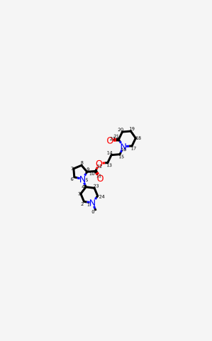 CN1CCC(N2CCCC2C(=O)OCCCN2CCCCC2=O)CC1